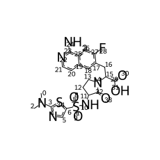 CN(C)c1ncc(S(=O)(=O)NC2CCN(C(Cc3cc4ccnc(N)c4cc3F)C(=O)O)C2=O)s1